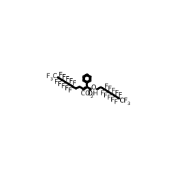 O=C(O)C(CCC(F)(F)C(F)(F)C(F)(F)C(F)(F)C(F)(F)C(F)(F)F)=C(C(=O)OCCC(F)(F)C(F)(F)C(F)(F)C(F)(F)C(F)(F)C(F)(F)F)c1ccccc1